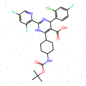 CC(C)(C)OC(=O)NC1CCC(C2=C(C(=O)O)C(c3ccc(F)cc3Cl)N=C(c3ncc(F)cc3F)N2)CC1